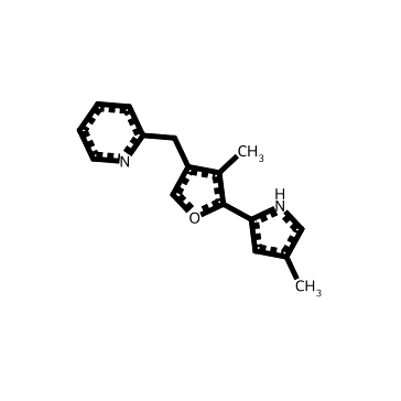 Cc1c[nH]c(-c2occ(Cc3ccccn3)c2C)c1